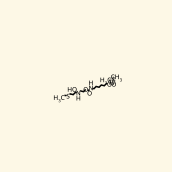 CCSCCC(O)NCCOC(=O)NCCCCCCOP(C)(=O)SC